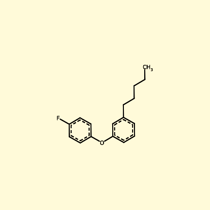 CCCCCc1cccc(Oc2ccc(F)cc2)c1